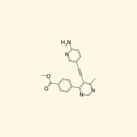 COC(=O)c1ccc(-c2ncnc(C)c2C#Cc2ccc(N)nc2)cc1